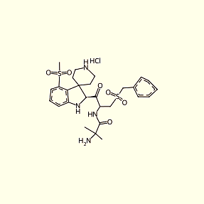 CC(C)(N)C(=O)NC(CS(=O)(=O)Cc1ccccc1)C(=O)[C@H]1Nc2cccc(S(C)(=O)=O)c2C12CCNCC2.Cl